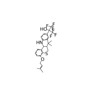 CC(C)=CCOc1cccc2c1SCC1C2Nc2ccc(C(O)(C(F)(F)F)C(F)(F)F)cc2C1(C)C